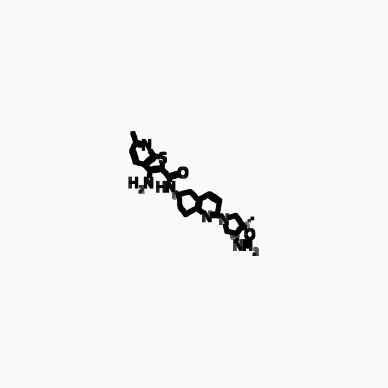 CO[C@]1(C)CN(c2ccc3c(n2)CC[C@H](NC(=O)c2sc4nc(C)ccc4c2N)C3)C[C@H]1N